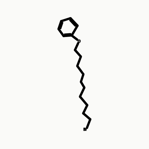 BrCCCCCCCCCCOc1ccccc1